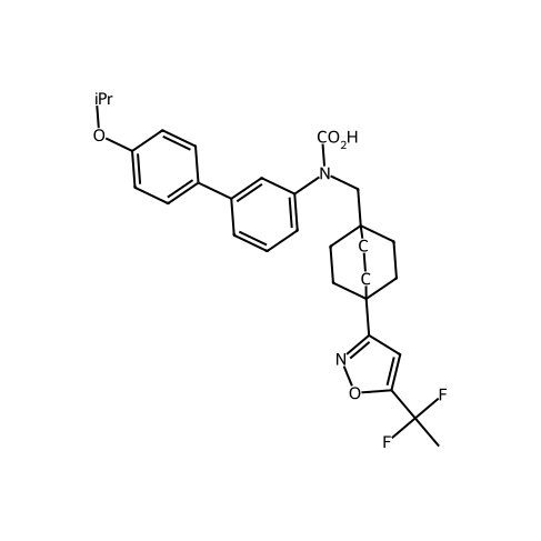 CC(C)Oc1ccc(-c2cccc(N(CC34CCC(c5cc(C(C)(F)F)on5)(CC3)CC4)C(=O)O)c2)cc1